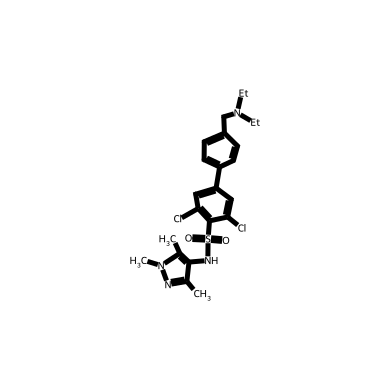 CCN(CC)Cc1ccc(-c2cc(Cl)c(S(=O)(=O)Nc3c(C)nn(C)c3C)c(Cl)c2)cc1